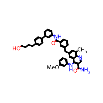 COc1cccc(Nc2c(C(N)=O)cnc3c(C)cc(Cc4cccc(C(=O)Nc5cccc(-c6ccc(CCCCO)cc6)c5)c4)cc23)c1